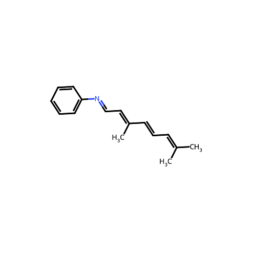 CC(C)=C/C=C/C(C)=C/C=N/c1ccccc1